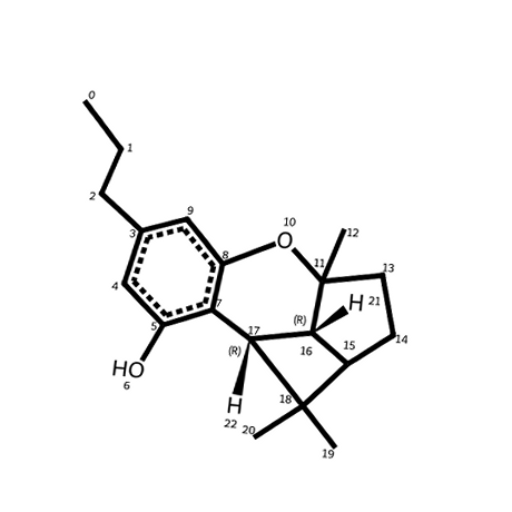 CCCc1cc(O)c2c(c1)OC1(C)CCC3[C@@H]1[C@@H]2C3(C)C